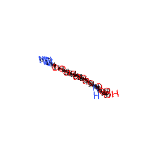 [N-]=[N+]=NCCOCCOCCOCCOCCOCCOCCOCCOCCNC(=O)COCC(=O)O